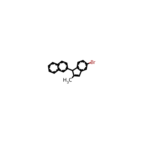 CC1=Cc2cc(Br)ccc2C1c1ccc2ccccc2c1